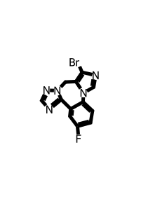 Fc1ccc2c(c1)-c1ncnn1Cc1c(Br)ncn1-2